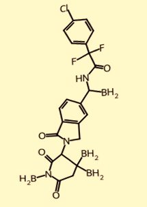 BC(NC(=O)C(F)(F)c1ccc(Cl)cc1)c1ccc2c(c1)CN(C1C(=O)N(B)C(=O)CC1(B)B)C2=O